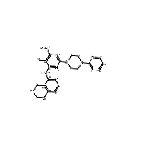 CNc1nc(N2CCN(c3ccccn3)CC2)nc(Nc2cccc3c2CCCC3)c1C